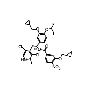 CC1NC=C(Cl)C(C[C@H](OC(=O)c2ccc([N+](=O)[O-])c(OCC3CC3)c2)c2ccc(OC(F)F)c(OCC3CC3)c2)=C1Cl